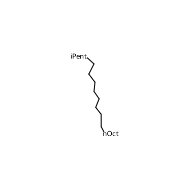 [CH2]C(CCC)CCCCCCCCCCCCCCCC